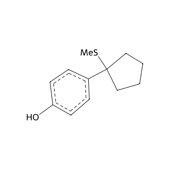 CSC1(c2ccc(O)cc2)CCCC1